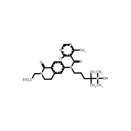 CCOC(=O)CN1CCc2cc(N(CCCC(C)(C)[Si](C)(C)O)C(=O)c3c(C)ncnc3Cl)ccc2C1=O